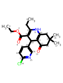 CCOC(=O)C1=C(CC)NC2=C(C(=O)CC(C)(C)C2)C1c1ccc(Cl)nc1